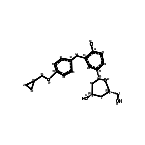 OC[C@@H]1C[C@H](O)C[C@H](c2ccc(Cl)c(Cc3ccc(OCC4CC4)cc3)c2)O1